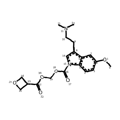 COc1ccc2c(c1)c(CCN(C)C)cn2C(=O)OCOC(=O)C1COC1